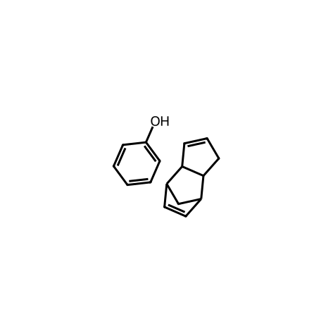 C1=CC2C3C=CC(C3)C2C1.Oc1ccccc1